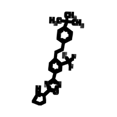 CC(C)(C)c1ccc(CCc2ccc(-c3noc(C4CCCN4)n3)cc2C(F)(F)F)cc1